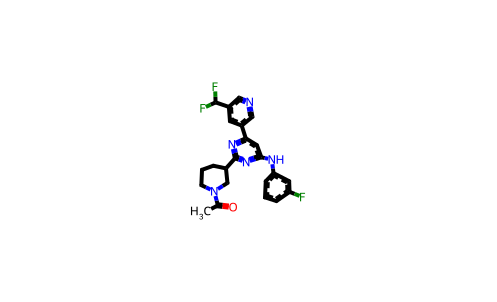 CC(=O)N1CCCC(c2nc(Nc3cccc(F)c3)cc(-c3cncc(C(F)F)c3)n2)C1